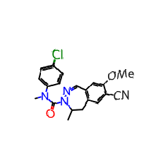 COc1cc2c(cc1C#N)CC(C)N(C(=O)N(C)c1ccc(Cl)cc1)N=C2